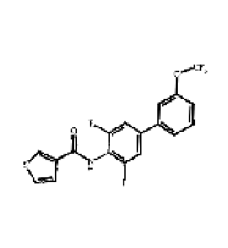 O=C(Nc1c(F)cc(-c2cccc(OC(F)(F)F)c2)cc1F)c1ccsc1